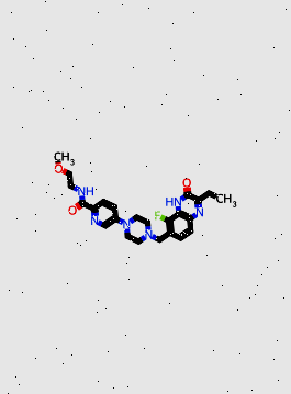 CCc1nc2ccc(CN3CCN(c4ccc(C(=O)NCCOC)nc4)CC3)c(F)c2[nH]c1=O